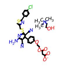 C[N+](C)(C)CCO.N#Cc1c(N)nc(SCc2csc(-c3ccc(Cl)cc3)n2)c(C#N)c1-c1ccc(OCCOC(=O)CC(=O)[O-])cc1